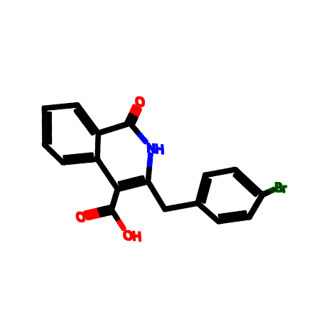 O=C(O)c1c(Cc2ccc(Br)cc2)[nH]c(=O)c2ccccc12